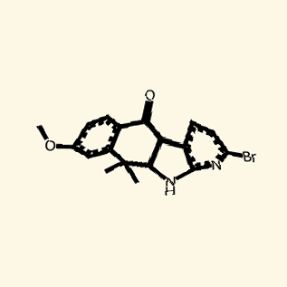 COc1ccc2c(c1)C(C)(C)C1Nc3nc(Br)ccc3C1C2=O